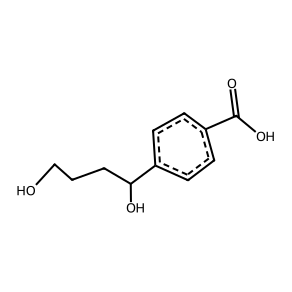 O=C(O)c1ccc(C(O)CCCO)cc1